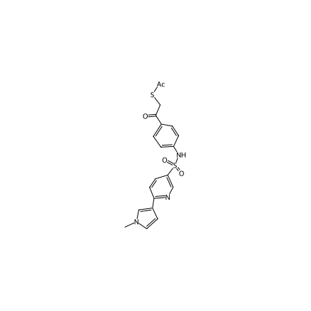 CC(=O)SCC(=O)c1ccc(NS(=O)(=O)c2ccc(-c3ccn(C)c3)nc2)cc1